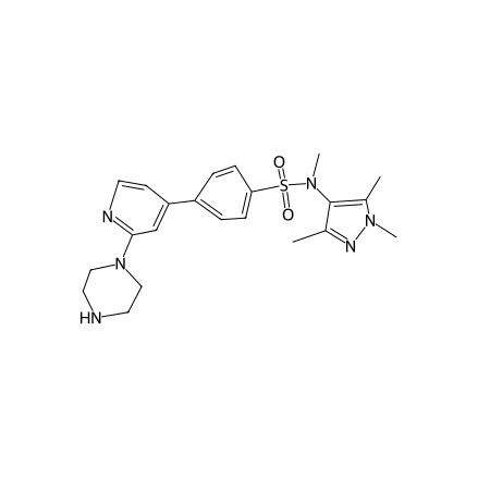 Cc1nn(C)c(C)c1N(C)S(=O)(=O)c1ccc(-c2ccnc(N3CCNCC3)c2)cc1